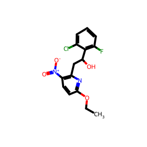 CCOc1ccc([N+](=O)[O-])c(CC(O)c2c(F)cccc2Cl)n1